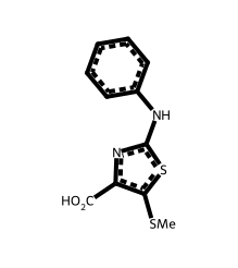 CSc1sc(Nc2ccccc2)nc1C(=O)O